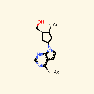 CC(=O)Nc1ncnc2c1ccn2[C@H]1C[C@@H](CO)[C@@H](OC(C)=O)C1